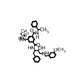 CCS(=O)(=O)Nc1cc(C(=O)NC(C)c2ccccc2)cc(C(=O)NC(Cc2ccccc2)C(O)CNCc2cccc(OC)c2)c1